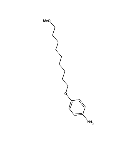 COCCCCCCCCCOc1ccc(N)cc1